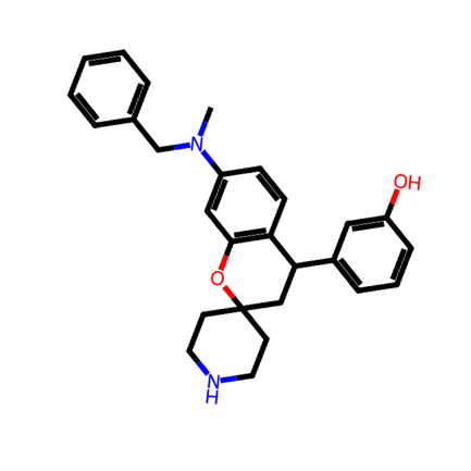 CN(Cc1ccccc1)c1ccc2c(c1)OC1(CCNCC1)CC2c1cccc(O)c1